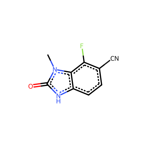 Cn1c(=O)[nH]c2ccc(C#N)c(F)c21